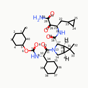 CC1CCCC(OC(=O)N[C@H](C(=O)N2C[C@H]3[C@@H]([C@H]2C(=O)N[C@H](CC2CC2)C(=O)C(N)=O)C3(C)C)C2CCCCC2)C1